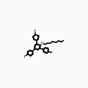 CCCCCCCCOc1c(-c2ccc(F)cc2)cc(-c2ccc(F)cc2)cc1-c1ccc(F)cc1